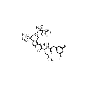 CCCC(NC(=O)Cc1cc(F)cc(F)c1)C(=O)Nc1ncn2c1CN(CC(C)(C)C)CC2(C)C